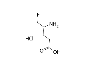 Cl.NC(CF)CCC(=O)O